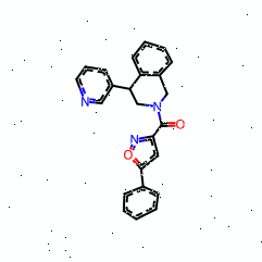 O=C(c1cc(-c2ccccc2)on1)N1Cc2ccccc2C(c2cccnc2)C1